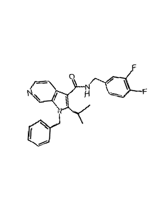 CC(C)c1c(C(=O)NCc2ccc(F)c(F)c2)c2ccncc2n1Cc1ccccc1